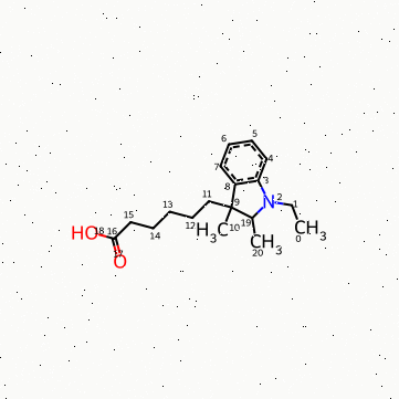 CCN1c2ccccc2C(C)(CCCCCC(=O)O)C1C